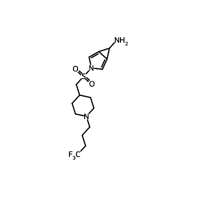 NC1c2cn(S(=O)(=O)CC3CCN(CCCC(F)(F)F)CC3)cc21